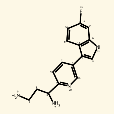 NCCC(N)c1ccc(-c2c[nH]c3cc(F)ccc23)cn1